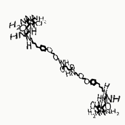 N=C(NCCCCc1ccc(OCCOCCNC(=O)CCC(=O)NCCOCCOc2ccc(CCCCNC(=N)NC(=O)c3nc(Cl)c(N)nc3N)cc2)cc1)NC(=O)c1nc(Cl)c(N)nc1N